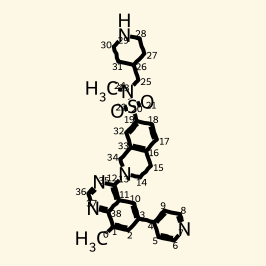 Cc1cc(-c2ccncc2)cc2c(N3CCc4ccc(S(=O)(=O)N(C)CC5CCNCC5)cc4C3)ncnc12